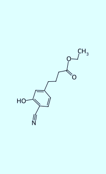 CCOC(=O)CCCc1ccc(C#N)c(O)c1